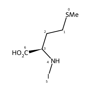 CSCC[C@@H](NI)C(=O)O